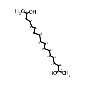 CC(O)CCCCCCCCCCCCCCC(C)O